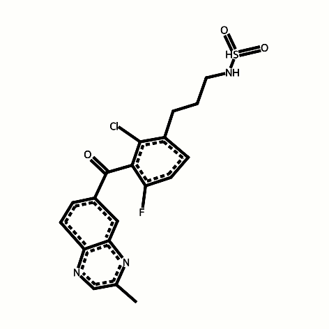 Cc1cnc2ccc(C(=O)c3c(F)ccc(CCCN[SH](=O)=O)c3Cl)cc2n1